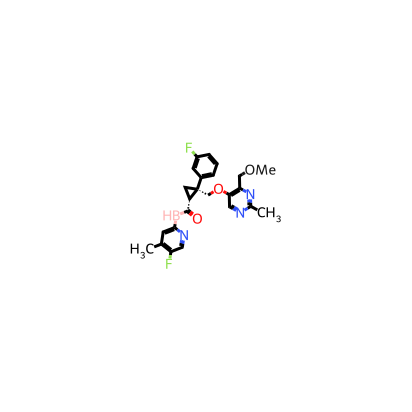 COCc1nc(C)ncc1OC[C@@]1(c2cccc(F)c2)C[C@H]1C(=O)Bc1cc(C)c(F)cn1